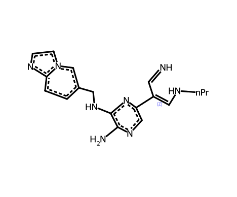 CCCN/C=C(\C=N)c1cnc(N)c(NCc2ccc3nccn3c2)n1